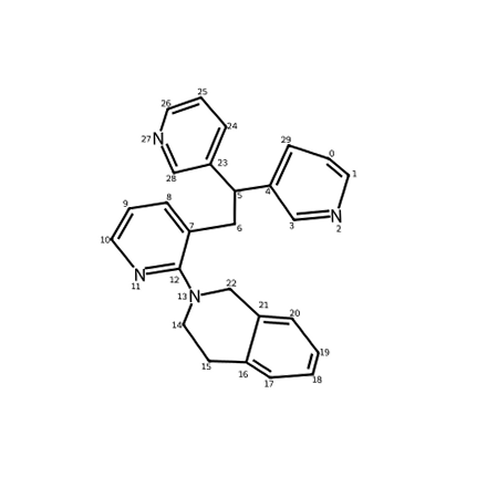 c1cncc(C(Cc2cccnc2N2CCc3ccccc3C2)c2cccnc2)c1